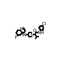 CC(C)C(C(=O)Nc1ccc(Cl)cc1)N1CCC(Nc2ccnc3ccc(F)cc23)CC1